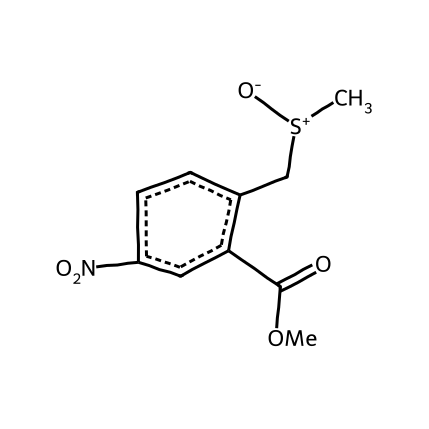 COC(=O)c1cc([N+](=O)[O-])ccc1C[S+](C)[O-]